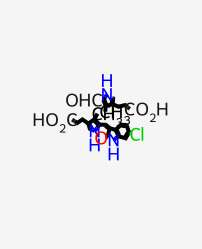 Cc1c(CCC(=O)O)c[nH]c1C=C1C(=O)Nc2cc(Cl)ccc21.Cc1c(CCC(=O)O)c[nH]c1C=O